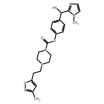 Cc1cc(CCN2CCN(C(=O)Oc3ccc(C(S)c4nccn4C)cc3)CC2)on1